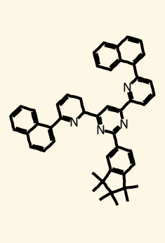 CC1(C)c2ccc(-c3nc(-c4cccc(-c5cccc6ccccc56)n4)cc(C4CC=CC(c5cccc6ccccc56)=N4)n3)cc2C(C)(C)C1(C)C